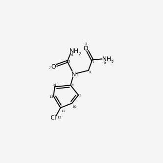 NC(=O)CN(C(N)=O)c1ccc(Cl)cc1